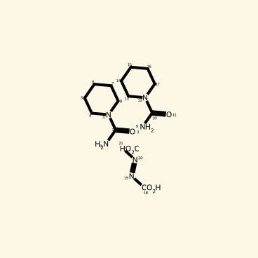 NC(=O)N1CCCCC1.NC(=O)N1CCCCC1.O=C(O)N=NC(=O)O